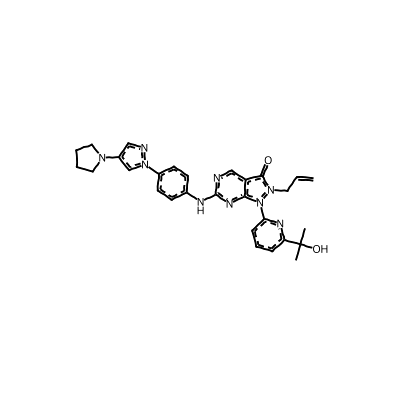 C=CCn1c(=O)c2cnc(Nc3ccc(-n4cc(N5CCCC5)cn4)cc3)nc2n1-c1cccc(C(C)(C)O)n1